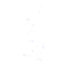 COc1cc2nccc(Nc3ccc(N4CCC(Cc5ccccc5)NC4=O)cc3)c2cc1OC